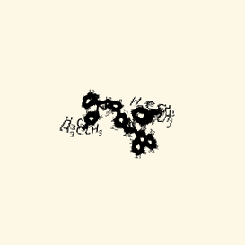 CC(C)(C)c1ccc(-n2c(-c3ccccc3)cc3ccc(-c4ccc5cc(-c6cc7ccccc7c7ccccc67)n(-c6ccc(C(C)(C)C)cc6)c5c4)cc32)cc1